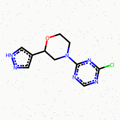 Clc1ncnc(N2CCOC(c3cn[nH]c3)C2)n1